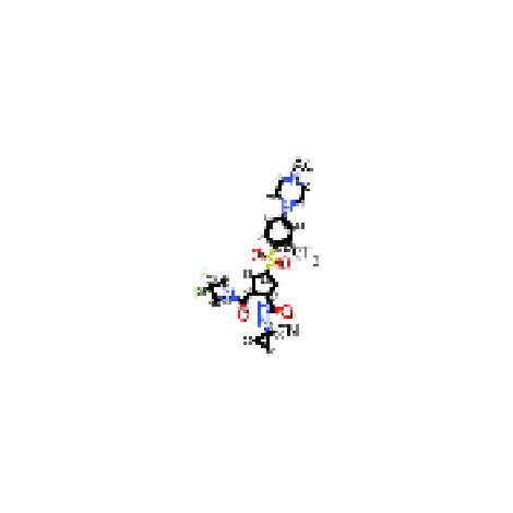 CC(=O)N1CCN(c2ccc(S(=O)(=O)C3CC(C(=O)NC4(C#N)CC4)C(C(=O)N4CC(F)(F)C4)C3)c(C(F)(F)F)c2)CC1